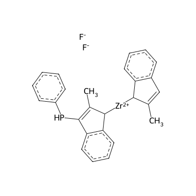 CC1=Cc2ccccc2[CH]1[Zr+2][CH]1C(C)=C(Pc2ccccc2)c2ccccc21.[F-].[F-]